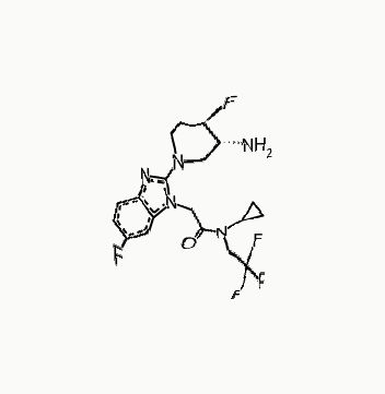 N[C@@H]1CN(c2nc3ccc(F)cc3n2CC(=O)N(CC(F)(F)F)C2CC2)CC[C@H]1F